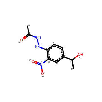 CC(=O)NNc1ccc(C(C)O)cc1[N+](=O)[O-]